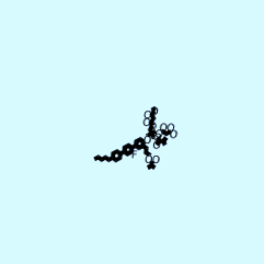 C=C(C)C(=O)OCCCc1cc(-c2ccc(C3CCC(CCCCC)CC3)cc2F)ccc1OCC(COC(=O)CC(=O)OC)(COC(=O)CC(=O)OC)COC(=O)C(=C)C